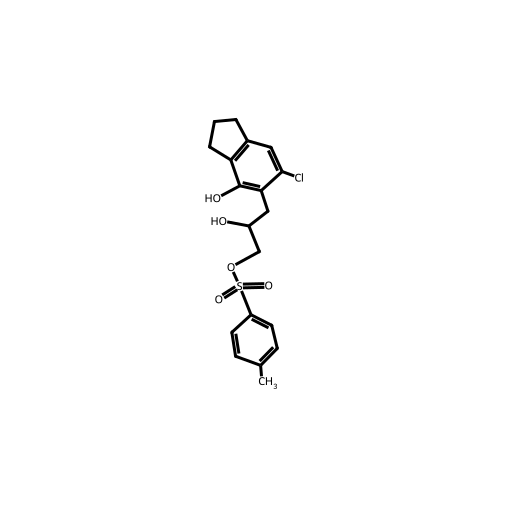 Cc1ccc(S(=O)(=O)OCC(O)Cc2c(Cl)cc3c(c2O)CCC3)cc1